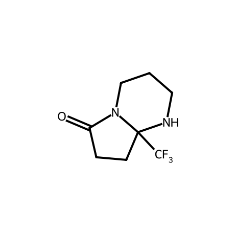 O=C1CCC2(C(F)(F)F)NCCCN12